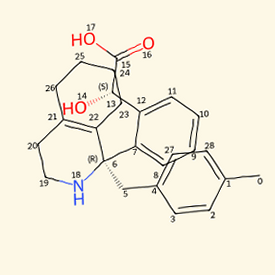 Cc1ccc(C[C@]2(c3ccccc3[C@H](O)C(=O)O)NCCC3=C2CCCC3)cc1